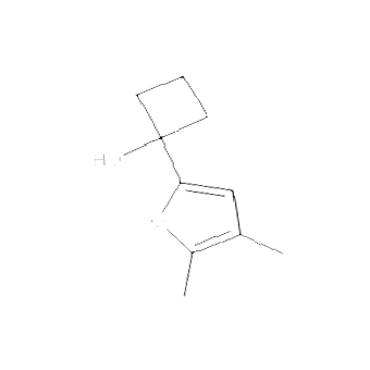 Cc1cc(C2(O)CCC2)oc1C